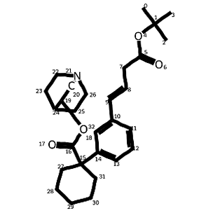 CC(C)(C)OC(=O)C/C=C/c1cccc(C2(C(=O)OC3CN4CCC3CC4)CCCCC2)c1